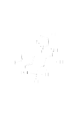 CC1=C(C(=O)OC(C)(C)C)C(c2ccc(Cl)c(Cl)c2)n2ncc(Cl)c2N1